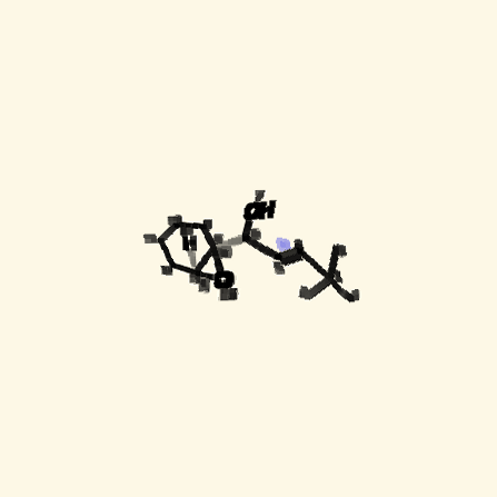 CC(C)(C)/C=C/C(O)[C@@]12CCCC[C@@H]1O2